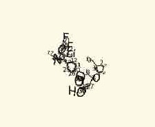 Cc1cccc(OC(COc2ccc(-c3nn(C)c(OC(F)F)c3Cl)cc2)CC(=O)O)c1